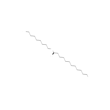 CCCCCCCCCCCCCCCCCCOC(=O)CCCCCCCCCCCO